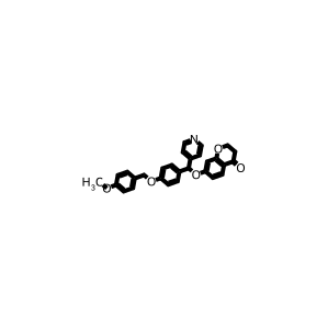 COc1ccc(COc2ccc(C(Oc3ccc4c(c3)OCCC4=O)c3ccncc3)cc2)cc1